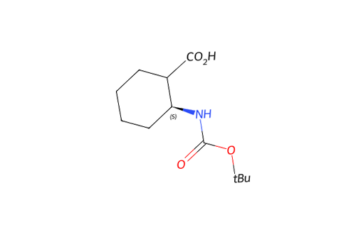 CC(C)(C)OC(=O)N[C@H]1CCCCC1C(=O)O